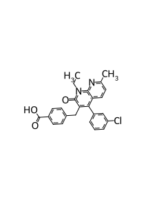 CCn1c(=O)c(Cc2ccc(C(=O)O)cc2)c(-c2cccc(Cl)c2)c2ccc(C)nc21